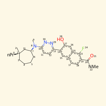 CCC[C@]1(C)CCCC[C@H](N(C)c2ccc(-c3cc4ccc(C(=O)NC)c(F)c4cc3O)nn2)C1